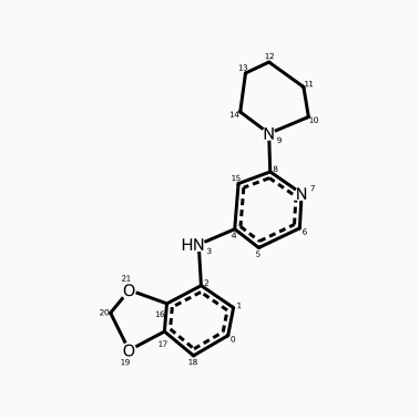 c1cc(Nc2ccnc(N3CCCCC3)c2)c2c(c1)OCO2